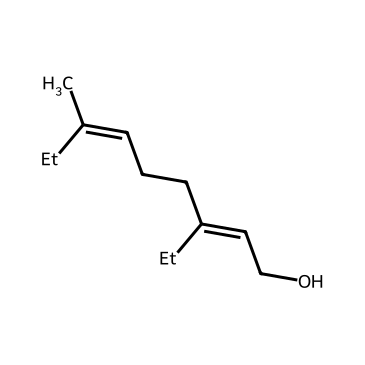 CC/C(C)=C\CC/C(=C/CO)CC